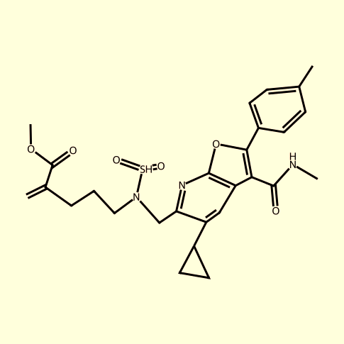 C=C(CCCN(Cc1nc2oc(-c3ccc(C)cc3)c(C(=O)NC)c2cc1C1CC1)[SH](=O)=O)C(=O)OC